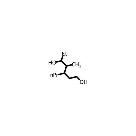 CCCC(CCO)C(C)C(O)CC